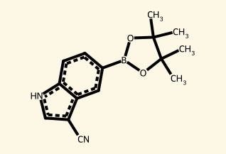 CC1(C)OB(c2ccc3[nH]cc(C#N)c3c2)OC1(C)C